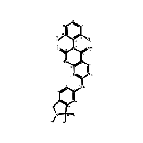 CN1Cc2ccc(Nc3ncc4c(=N)n(-c5c(Cl)cccc5Cl)c(=O)[nH]c4n3)cc2C1(C)C